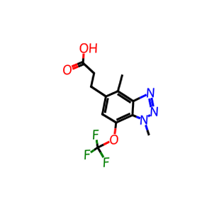 Cc1c(CCC(=O)O)cc(OC(F)(F)F)c2c1nnn2C